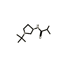 CC(C)C(=O)N[C@@H]1CCN(C(C)(C)C)C1